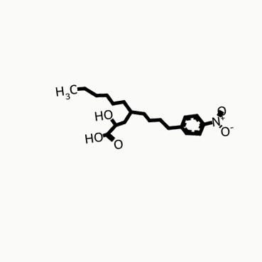 CCCCCCC(CCCCc1ccc([N+](=O)[O-])cc1)CC(O)C(=O)O